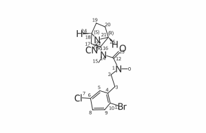 CN(CCc1cc(Cl)ccc1Br)C(=O)N(C)[C@@H]1C[C@@H]2CC[C@H]1N2C#N